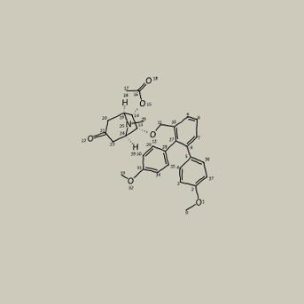 COc1ccc(-c2cccc(CO[C@H]3[C@@H](OC(C)=O)[C@@H]4CC(=O)C[C@H]3N4C)c2-c2ccc(OC)cc2)cc1